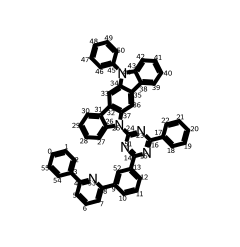 c1ccc(-c2cccc(-c3cccc(-c4nc(-c5ccccc5)nc(-n5c6ccccc6c6cc7c(cc65)c5ccccc5n7-c5ccccc5)n4)c3)n2)cc1